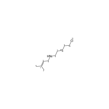 CC(C)=CCNCCSCCCl